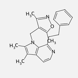 Cc1noc(C)c1Cn1c(C)c(C)c2ccnc(CCc3ccccc3)c21